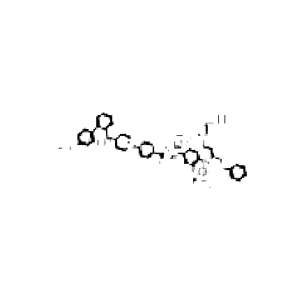 CN(CCO)CCC(CSc1ccccc1)Nc1ccc(S(=O)(=O)NC(=O)c2ccc(N3CCC([C@H](O)c4ccccc4-c4ccc(C(F)(F)F)cc4)CC3)cc2)cc1S(=O)(=O)C(F)(F)F